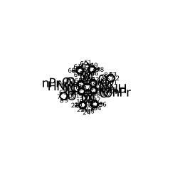 CCCNC(=O)C(C1CCCCC1)N1C(=O)c2cc(Oc3cc(C)cc(C)c3)c3c4c(Oc5cc(C)cc(C)c5)cc5c6c(cc(Oc7cc(C)cc(C)c7)c(c7c(Oc8cc(C)cc(C)c8)cc(c2c37)C1=O)c64)C(=O)N(C(C(=O)NCCC)C1CCCCC1)C5=O